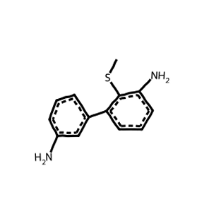 CSc1c(N)cccc1-c1cccc(N)c1